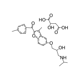 Cc1ccc(C(=O)c2oc3ccc(OCC(O)CNC(C)C)cc3c2C)cc1.O=C(O)CC(O)C(=O)O